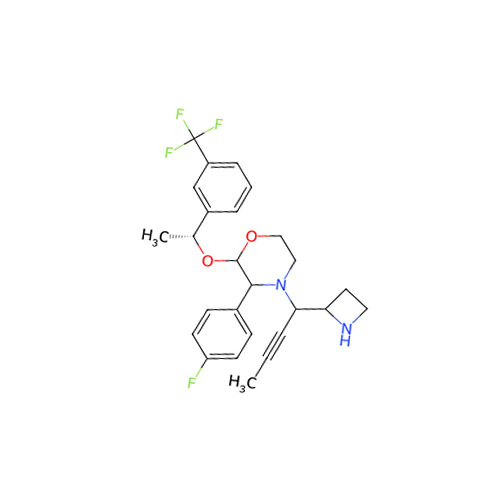 CC#CC(C1CCN1)N1CCOC(O[C@H](C)c2cccc(C(F)(F)F)c2)C1c1ccc(F)cc1